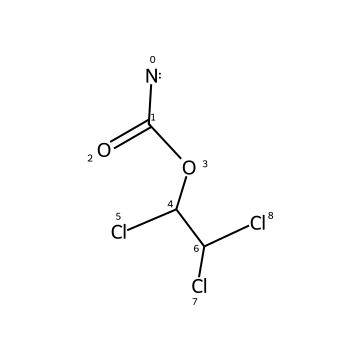 [N]C(=O)OC(Cl)C(Cl)Cl